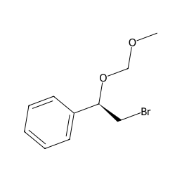 COCO[C@@H](CBr)c1ccccc1